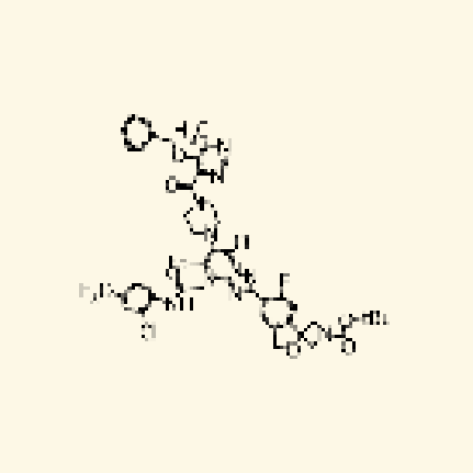 CCc1c(N2CCN(C(=O)c3ncnc(C)c3OCc3ccccc3)CC2)c(=O)n2nc(-c3cc4c(cc3F)C3(CN(C(=O)OC(C)(C)C)C3)OC4)nc2n1CC(=O)Nc1ccc(C(F)(F)F)cc1Cl